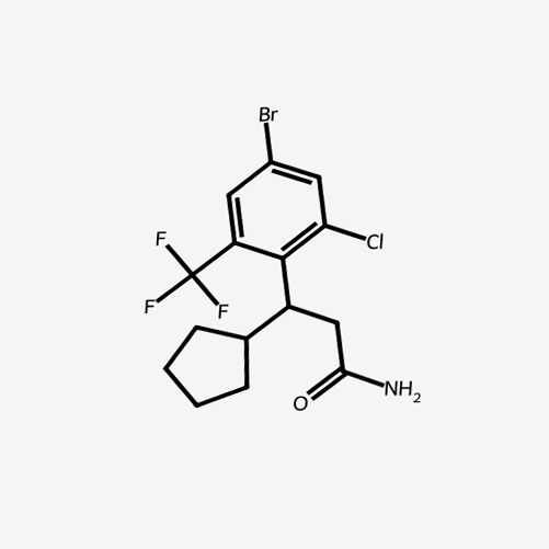 NC(=O)CC(c1c(Cl)cc(Br)cc1C(F)(F)F)C1CCCC1